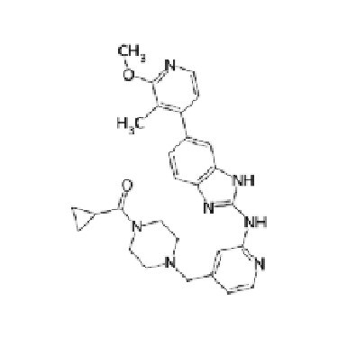 COc1nccc(-c2ccc3nc(Nc4cc(CN5CCN(C(=O)C6CC6)CC5)ccn4)[nH]c3c2)c1C